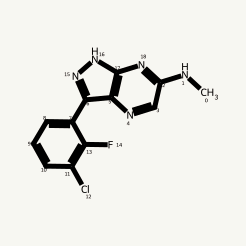 CNc1cnc2c(-c3cccc(Cl)c3F)n[nH]c2n1